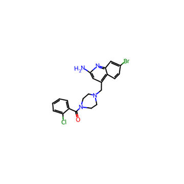 Nc1cc(CN2CCN(C(=O)c3ccccc3Cl)CC2)c2ccc(Br)cc2n1